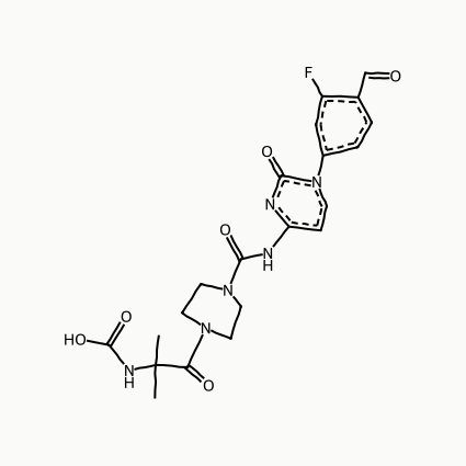 CC(C)(NC(=O)O)C(=O)N1CCN(C(=O)Nc2ccn(-c3ccc(C=O)c(F)c3)c(=O)n2)CC1